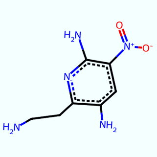 NCCc1nc(N)c([N+](=O)[O-])cc1N